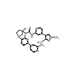 Cc1nn(C)cc1-c1ccnc(NC(=O)N2c3nc(-c4ccnc(C(F)(F)F)c4)ccc3N3CC[C@H]2C3)c1